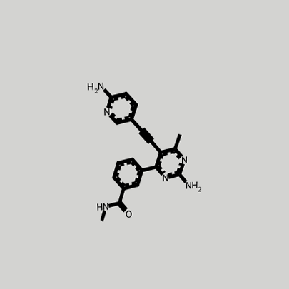 CNC(=O)c1cccc(-c2nc(N)nc(C)c2C#Cc2ccc(N)nc2)c1